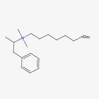 CCCCCCCCCCCCCCCC[N+](C)(C)C(C)Cc1ccccc1